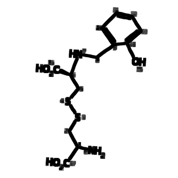 NC(CSSC[C@H](NCc1ccccc1O)C(=O)O)C(=O)O